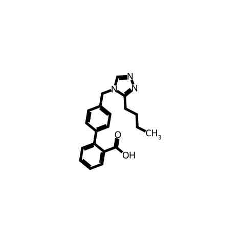 CCCCc1nncn1Cc1ccc(-c2ccccc2C(=O)O)cc1